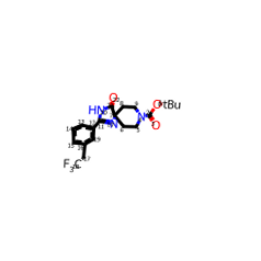 CC(C)(C)OC(=O)N1CCC2(CC1)N=C(c1cccc(CC(F)(F)F)c1)NC2=O